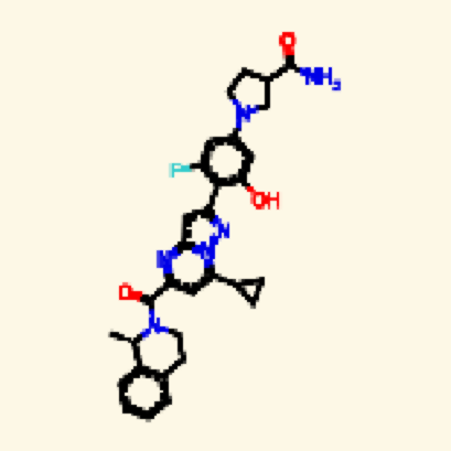 C[C@@H]1c2ccccc2CCN1C(=O)c1cc(C2CC2)n2nc(-c3c(O)cc(N4CCC(C(N)=O)C4)cc3F)cc2n1